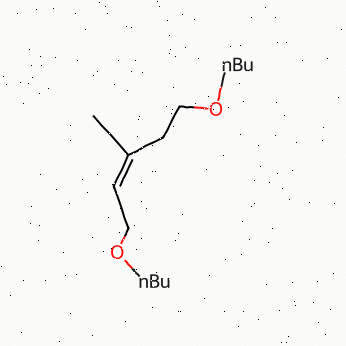 CCCCOC/C=C(/C)CCOCCCC